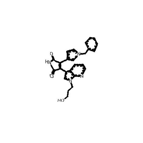 O=C1NC(=O)C(c2cn(CCCO)c3ncccc23)=C1c1ccn(Cc2ccccc2)c1